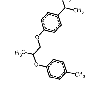 Cc1ccc(OC(C)COc2ccc(C(C)C)cc2)cc1